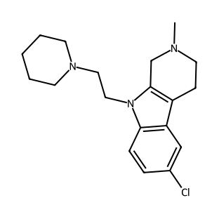 CN1CCc2c(n(CCN3CCCCC3)c3ccc(Cl)cc23)C1